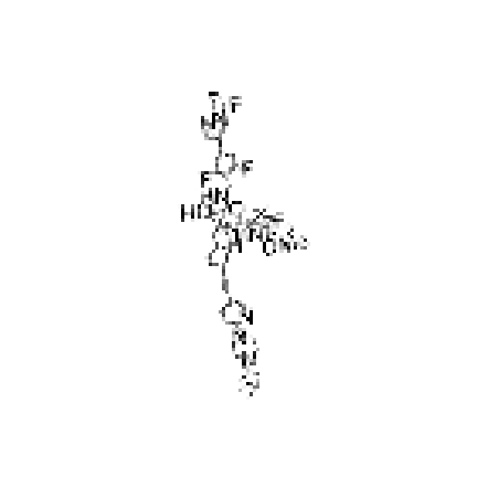 COC(=O)N[C@H](C(=O)N[C@@H](Cc1ccc(C#Cc2ccc(N3CCN(C4CCOC4)CC3)nc2)cc1)[C@@H](O)CNCc1c(F)cc(-c2cnn(C(F)F)c2)cc1F)C(C)(C)C(F)(F)F